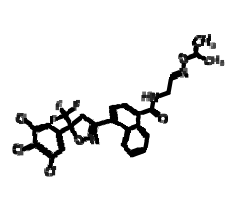 CC(C)ON=CCNC(=O)c1ccc(C2=NOC(c3cc(Cl)c(Cl)c(Cl)c3)(C(F)(F)F)C2)c2ccccc12